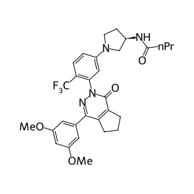 CCCC(=O)N[C@@H]1CCN(c2ccc(C(F)(F)F)c(-n3nc(-c4cc(OC)cc(OC)c4)c4c(c3=O)CCC4)c2)C1